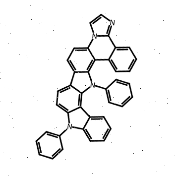 c1ccc(-n2c3ccccc3c3c2ccc2c4ccc5c(c6ccccc6c6nccn56)c4n(-c4ccccc4)c23)cc1